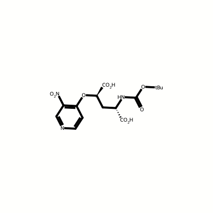 CC(C)(C)OC(=O)N[C@@H](C[C@@H](Oc1ccncc1[N+](=O)[O-])C(=O)O)C(=O)O